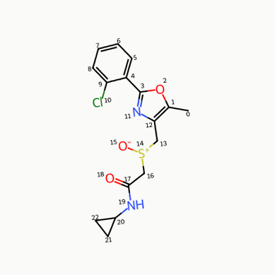 Cc1oc(-c2ccccc2Cl)nc1C[S+]([O-])CC(=O)NC1CC1